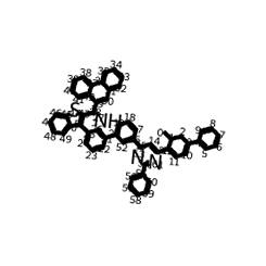 CC1CC(c2ccccc2)=CC=C1c1cc(-c2cccc(-c3cccc4c3NC(c3cc5ccccc5c5ccccc35)c3sc5ccccc5c3-4)c2)nc(-c2ccccc2)n1